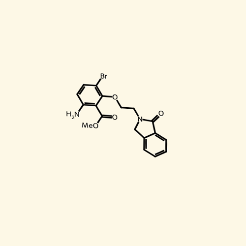 COC(=O)c1c(N)ccc(Br)c1OCCN1Cc2ccccc2C1=O